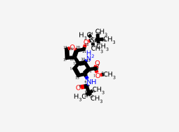 COC(=O)c1c(NC(=O)C(C)(C)C)ccc(-c2ccoc2CO[Si](C)(C)C(C)(C)C)c1N